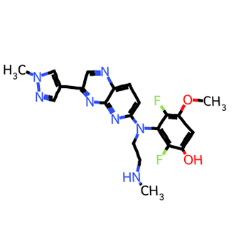 CNCCN(c1ccc2ncc(-c3cnn(C)c3)nc2n1)c1c(F)c(O)cc(OC)c1F